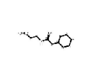 O=[C]CCNC(=O)CC1CCCCC1